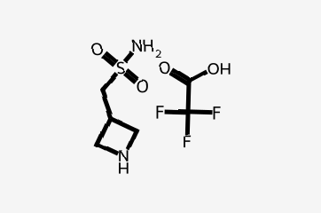 NS(=O)(=O)CC1CNC1.O=C(O)C(F)(F)F